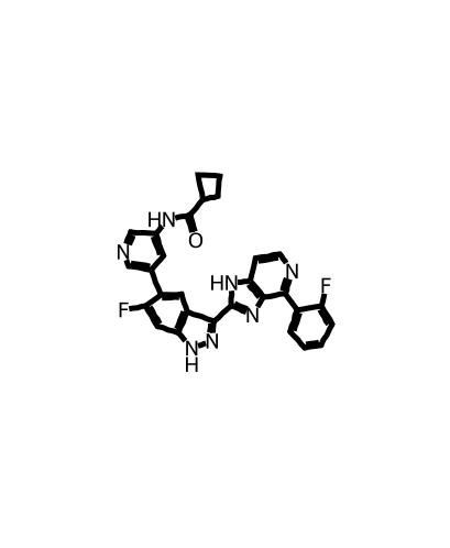 O=C(Nc1cncc(-c2cc3c(-c4nc5c(-c6ccccc6F)nccc5[nH]4)n[nH]c3cc2F)c1)C1CCC1